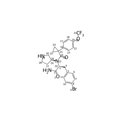 NC(=O)[C@H](Cc1ccc(Br)cc1)N(C(=O)C1(c2ccc(OC(F)(F)F)cc2)CC1)[C@H]1CCNC1